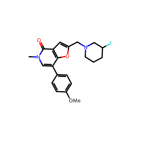 COc1ccc(-c2cn(C)c(=O)c3cc(CN4CCCC(F)C4)oc23)cc1